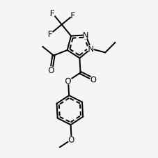 CCn1nc(C(F)(F)F)c(C(C)=O)c1C(=O)Oc1ccc(OC)cc1